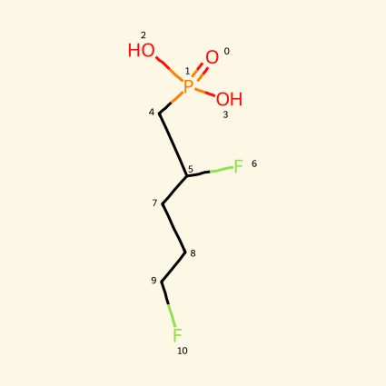 O=P(O)(O)CC(F)CCCF